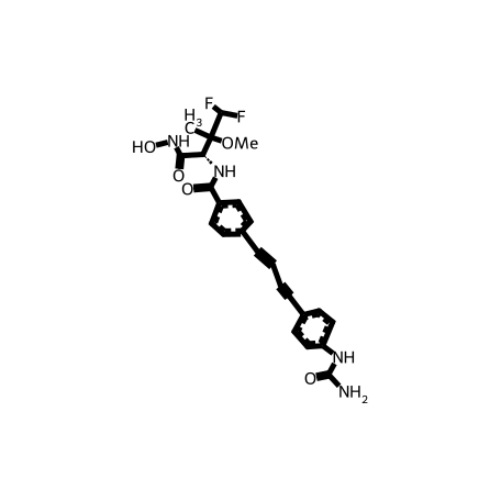 COC(C)(C(F)F)[C@H](NC(=O)c1ccc(C#CC#Cc2ccc(NC(N)=O)cc2)cc1)C(=O)NO